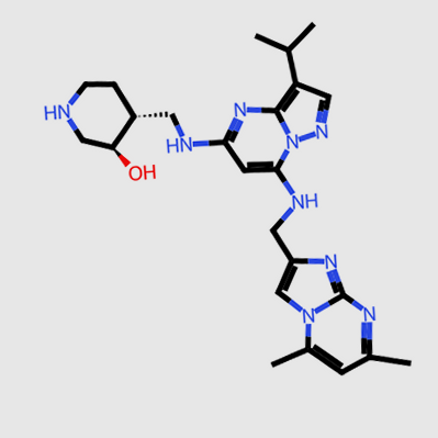 Cc1cc(C)n2cc(CNc3cc(NC[C@H]4CCNC[C@@H]4O)nc4c(C(C)C)cnn34)nc2n1